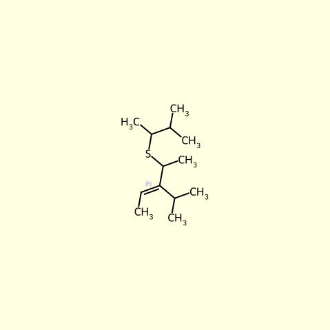 C/C=C(\C(C)C)C(C)SC(C)C(C)C